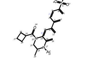 C=C(/C=C\C(=C)S(=O)(=O)NC(C)(C)C)C(=C)/C=C1\C(=C)N(C(C)=O)C(C)CN1C(=O)C1CCC1